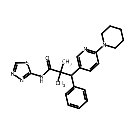 CC(C)(C(=O)Nc1nncs1)C(c1ccccc1)c1ccc(N2CCCCC2)nc1